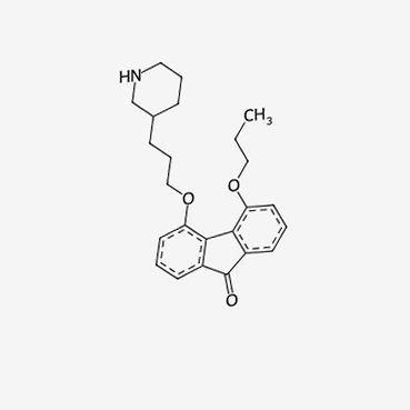 CCCOc1cccc2c1-c1c(OCCCC3CCCNC3)cccc1C2=O